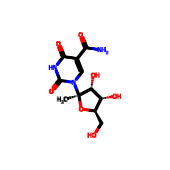 C[C@@]1(n2cc(C(N)=O)c(=O)[nH]c2=O)O[C@H](CO)[C@@H](O)[C@H]1O